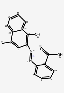 Cc1cc(/N=N/c2ccccc2C(=O)O)c(O)c2ccccc12